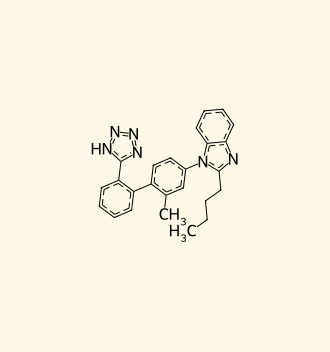 CCCCc1nc2ccccc2n1-c1ccc(-c2ccccc2-c2nnn[nH]2)c(C)c1